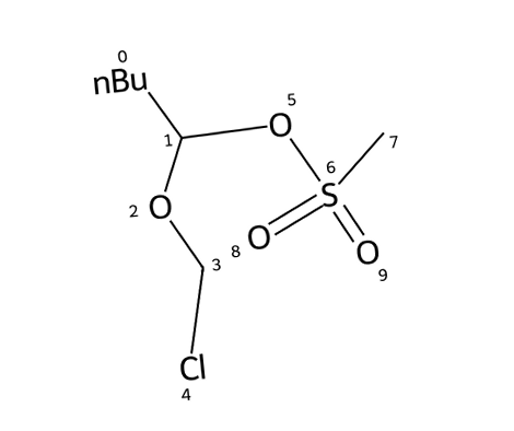 CCCCC(OCCl)OS(C)(=O)=O